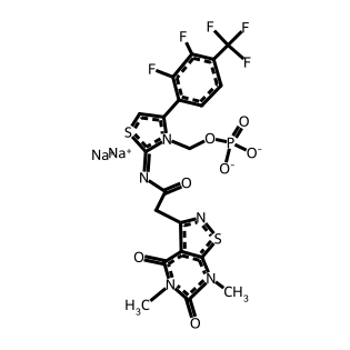 Cn1c(=O)c2c(CC(=O)N=c3scc(-c4ccc(C(F)(F)F)c(F)c4F)n3COP(=O)([O-])[O-])nsc2n(C)c1=O.[Na+].[Na+]